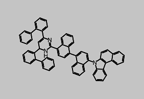 C1=C(c2ccccc2-c2ccccc2)N=C(c2ccc(-c3ccc(-n4c5ccccc5c5c6ccccc6ccc54)c4ccccc34)c3ccccc23)NC1c1ccccc1-c1ccccc1